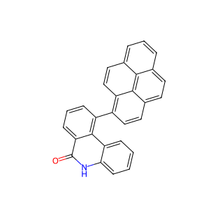 O=c1[nH]c2ccccc2c2c(-c3ccc4ccc5cccc6ccc3c4c56)cccc12